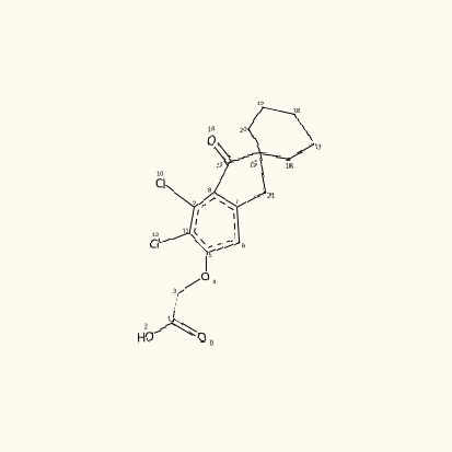 O=C(O)COc1cc2c(c(Cl)c1Cl)C(=O)C1(CCCCC1)C2